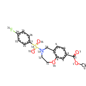 COC(=O)c1ccc2c(c1)OCCN(S(=O)(=O)c1ccc(F)cc1)C2